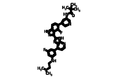 CN(C)CCNc1cc(F)cc(-c2ccnc3[nH]c(-c4n[nH]c5ccc(-c6cncc(NC(=O)C(C)(C)C)c6)c(F)c45)nc23)c1